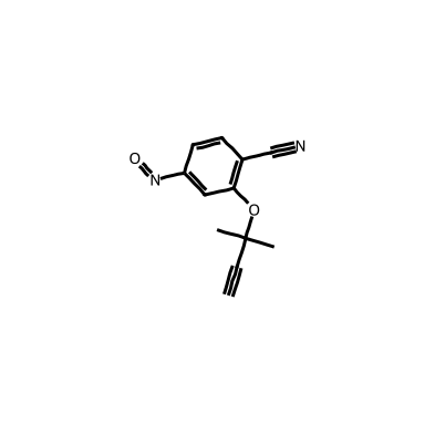 C#CC(C)(C)Oc1cc(N=O)ccc1C#N